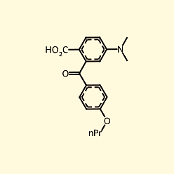 CCCOc1ccc(C(=O)c2cc(N(C)C)ccc2C(=O)O)cc1